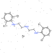 CCc1cccc(CC)c1NCCNCCNc1c(CC)cccc1CC.[Fe]